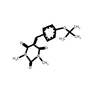 CN1C(=O)C(=Cc2ccc(OC(C)(C)C)cc2)C(=O)N(C)C1=O